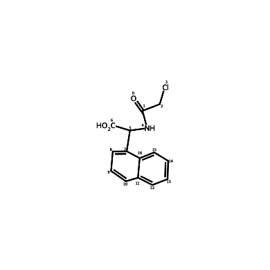 O=C(CCl)NC(C(=O)O)c1cccc2ccccc12